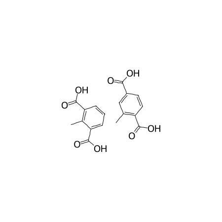 Cc1c(C(=O)O)cccc1C(=O)O.Cc1cc(C(=O)O)ccc1C(=O)O